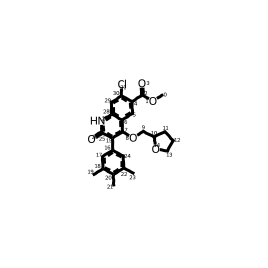 COC(=O)c1cc2c(OCC3CCCO3)c(-c3cc(C)c(C)c(C)c3)c(=O)[nH]c2cc1Cl